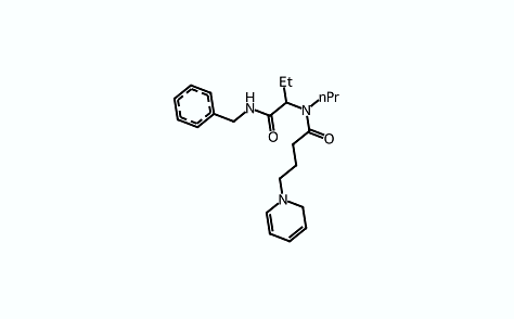 CCCN(C(=O)CCCN1C=CC=CC1)C(CC)C(=O)NCc1ccccc1